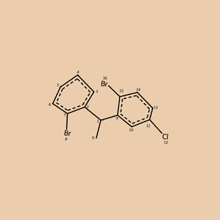 C[C](c1ccccc1Br)c1cc(Cl)ccc1Br